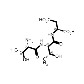 C[C@@H](O)[C@H](N)C(=O)N[C@H](C(=O)N[C@@H](CC(=O)O)C(=O)O)[C@@H](C)O